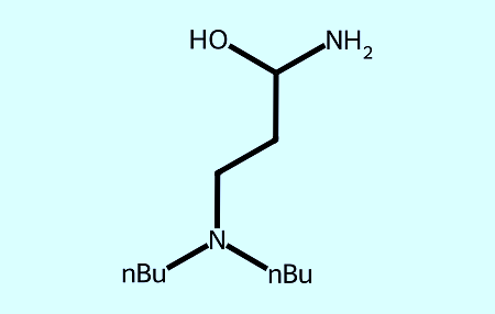 CCCCN(CCCC)CCC(N)O